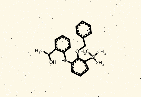 CC(O)c1ccccc1Pc1cccc([Si](C)(C)C)c1OCc1ccccc1